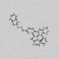 COC(=O)c1c(C)oc2c1c(C(c1ccncc1)N1CCOCC1)c(O)c1ccc(OCCc3cc4ccccc4o3)cc12